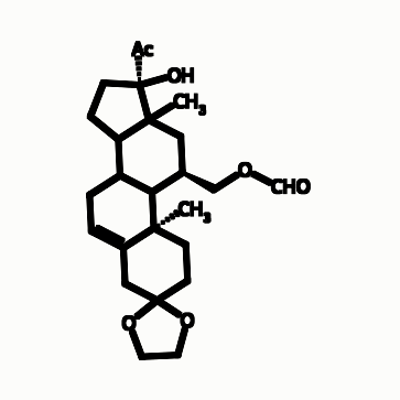 CC(=O)[C@@]1(O)CCC2C3CC=C4CC5(CC[C@]4(C)C3[C@H](COC=O)CC21C)OCCO5